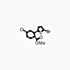 COC(=O)c1ccc(Cl)cc1-c1ccc(Br)s1